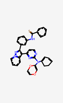 S=C(Nc1cccc(-c2nn3ccccc3c2-c2ccnc(N(C3=CC=CCC3)C3=COC=CO3)n2)c1)c1ccccc1